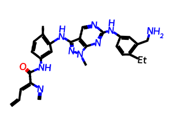 C=C/C=C(\N=C)C(=O)Nc1ccc(C)c(Nc2nn(C)c3nc(Nc4ccc(CC)c(CN)c4)ncc23)c1